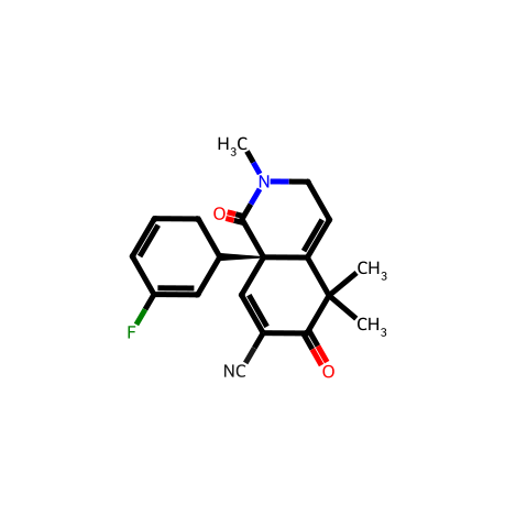 CN1CC=C2C(C)(C)C(=O)C(C#N)=C[C@]2(C2C=C(F)C=CC2)C1=O